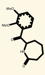 COc1cccc(C(=O)C2CCCCC(=O)N2)c1OC